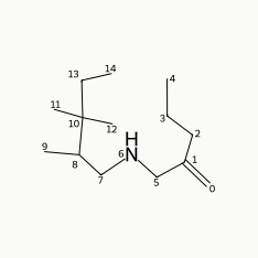 C=C(CCC)CNCC(C)C(C)(C)CC